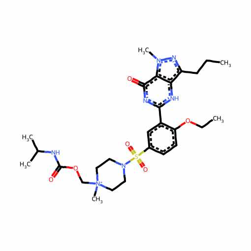 CCCc1nn(C)c2c(=O)nc(-c3cc(S(=O)(=O)N4CC[N+](C)(COC(=O)NC(C)C)CC4)ccc3OCC)[nH]c12